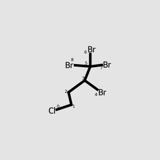 ClCCC(Br)C(Br)(Br)Br